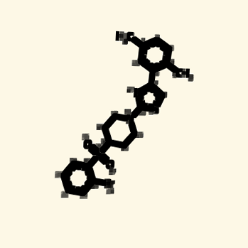 Cc1ccc(C)c(-c2csc(N3CCC(S(=O)(=O)c4ccccc4Br)CC3)n2)c1